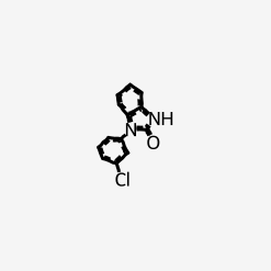 O=c1[nH]c2ccccc2n1-c1cccc(Cl)c1